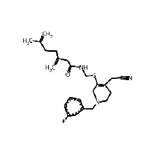 C=C(C)CCC(=C)CC(=O)NCSC1=C(CC#N)CCN(Cc2cccc(F)c2)C1